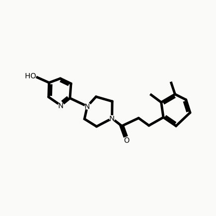 Cc1cccc(CCC(=O)N2CCN(c3ccc(O)cn3)CC2)c1C